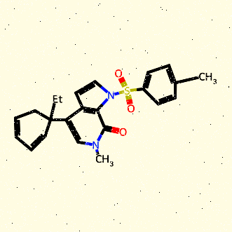 CCC1(c2cn(C)c(=O)c3c2ccn3S(=O)(=O)c2ccc(C)cc2)C=CC=CC1